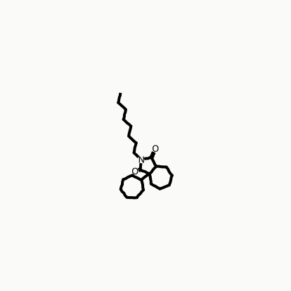 CCCCCCCCN1C(=O)C2CCCCCC2(C2CCCCCC2)C1=O